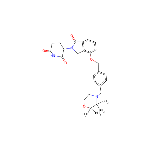 BC1(B)OCCN(Cc2ccc(COc3cccc4c3CN(C3CCC(=O)NC3=O)C4=O)cc2)C1(B)B